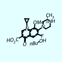 CCCCO.COc1c(N2CCN[C@@H](C)C2)c(F)cc2c(=O)c(C(=O)O)cn(C3CC3)c12